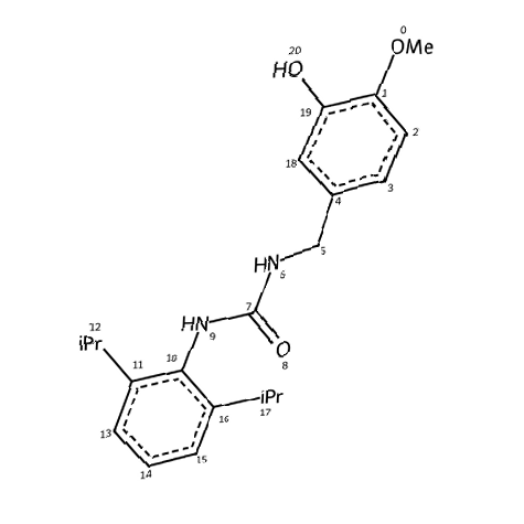 COc1ccc(CNC(=O)Nc2c(C(C)C)cccc2C(C)C)cc1O